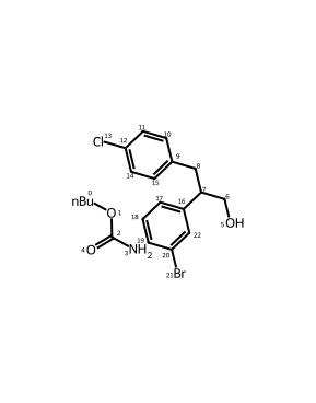 CCCCOC(N)=O.OCC(Cc1ccc(Cl)cc1)c1cccc(Br)c1